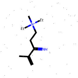 C=C(C)C(=N)CC[N+](C)(CC)CC